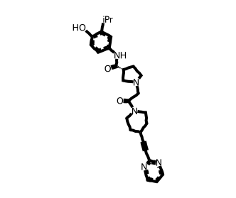 CC(C)c1cc(NC(=O)[C@@H]2CCN(CC(=O)N3CCC(C#Cc4ncccn4)CC3)C2)ccc1O